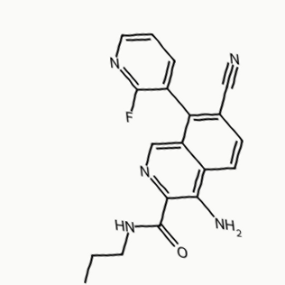 CCCNC(=O)c1ncc2c(-c3cccnc3F)c(C#N)ccc2c1N